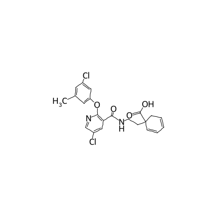 Cc1cc(Cl)cc(Oc2ncc(Cl)cc2C(=O)NCCC2(C(=O)O)C=CC=CC2)c1